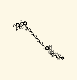 CN(CCCNc1nc(Nc2ccc(OCCOCCOCCOCCOCCOCCNc3cccc4c3C(=O)N(C3CCC(=O)NC3=O)C4=O)cc2)ncc1Br)C(=O)C1CCC1